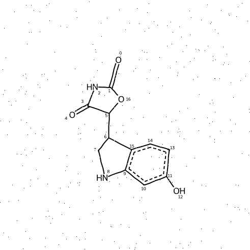 O=C1NC(=O)C(C2CNc3cc(O)ccc32)O1